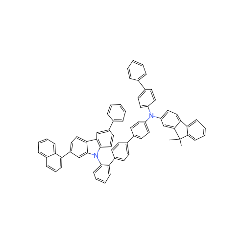 CC1(C)c2ccccc2-c2ccc(N(c3ccc(-c4ccccc4)cc3)c3ccc(-c4ccc(-c5ccccc5-n5c6ccc(-c7ccccc7)cc6c6ccc(-c7cccc8ccccc78)cc65)cc4)cc3)cc21